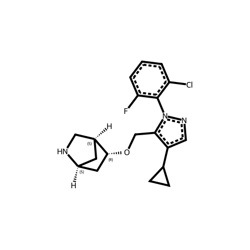 Fc1cccc(Cl)c1-n1ncc(C2CC2)c1CO[C@@H]1C[C@@H]2C[C@H]1CN2